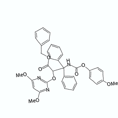 COc1ccc(OC(=O)NC(c2ccccc2)(c2ccccc2)C(Oc2nc(OC)cc(OC)n2)C(=O)OCc2ccccc2)cc1